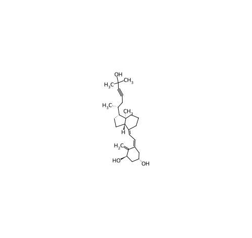 C=C1/C(=C\C=C2/CCC[C@]3(C)[C@@H]([C@H](C)CC#CC(C)(C)O)CC[C@@H]23)C[C@H](O)C[C@H]1O